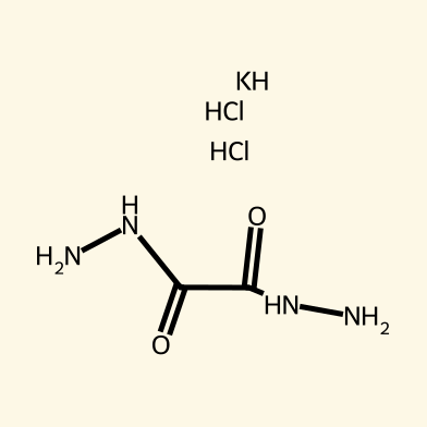 Cl.Cl.NNC(=O)C(=O)NN.[KH]